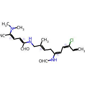 C=C/C(Cl)=C\C=C(/C/C=C(\C)CN/C(C=O)=C/C=C(/C#N)N(C)C)NC=O